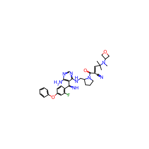 CN(C1COC1)C(C)(C)/C=C(\C#N)C(=O)N1CCCC1CNc1ncnc(N)c1C(=N)c1ccc(Oc2ccccc2)cc1F